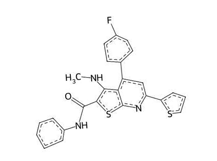 CNc1c(C(=O)Nc2ccccc2)sc2nc(-c3cccs3)cc(-c3ccc(F)cc3)c12